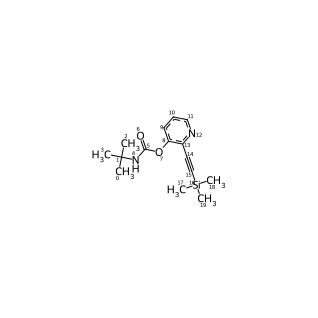 CC(C)(C)NC(=O)Oc1cccnc1C#C[Si](C)(C)C